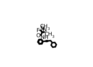 Cc1nn(C)c(F)c1C(=O)Nc1ccccc1C#CCC1CCCCC1